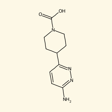 Nc1ccc(C2CCN(C(=O)O)CC2)nn1